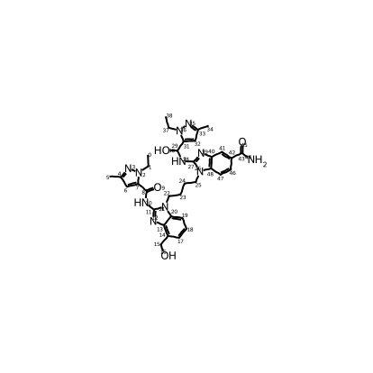 CCn1nc(C)cc1C(=O)Nc1nc2c(CO)cccc2n1CCCCn1c(NC(O)c2cc(C)nn2CC)nc2cc(C(N)=O)ccc21